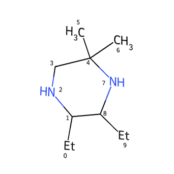 CCC1NCC(C)(C)NC1CC